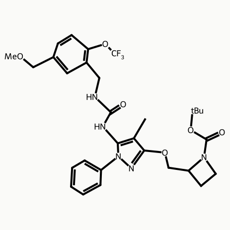 COCc1ccc(OC(F)(F)F)c(CNC(=O)Nc2c(C)c(OCC3CCN3C(=O)OC(C)(C)C)nn2-c2ccccc2)c1